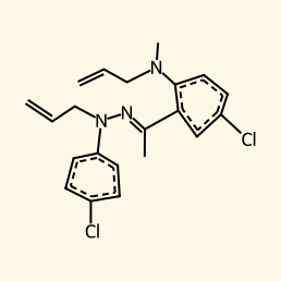 C=CCN(C)c1ccc(Cl)cc1/C(C)=N/N(CC=C)c1ccc(Cl)cc1